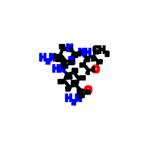 C[C@@H]1COCC[C@H]1Nc1ncc(N)c(N[C@H]2CC[C@H](C(N)=O)CC2)n1